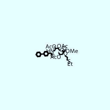 CCSCCCO[C@]1(C(=O)OC)C[C@H](OC(C)=O)C[C@H]([C@H](OC(C)=O)[C@@H](CNC(=O)c2ccc(-c3ccccc3)cc2)OC(C)=O)O1